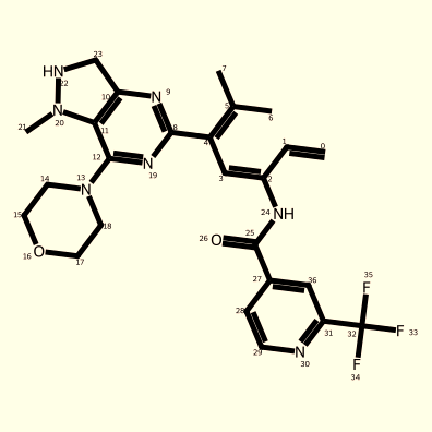 C=C/C(=C\C(=C(C)C)c1nc2c(c(N3CCOCC3)n1)N(C)NC2)NC(=O)c1ccnc(C(F)(F)F)c1